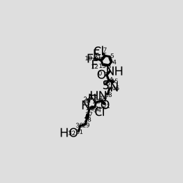 O=C(Nc1ccc(Cl)c(C(F)(F)F)c1)c1cnc(CNC(=O)c2ncnc(C#CCCCO)c2Cl)s1